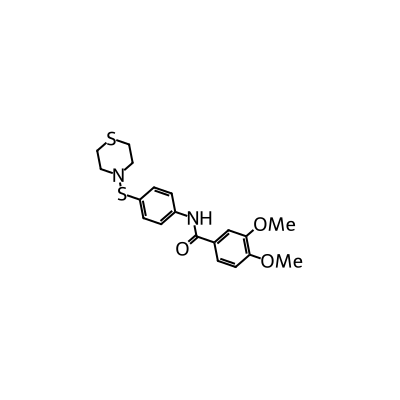 COc1ccc(C(=O)Nc2ccc(SN3CCSCC3)cc2)cc1OC